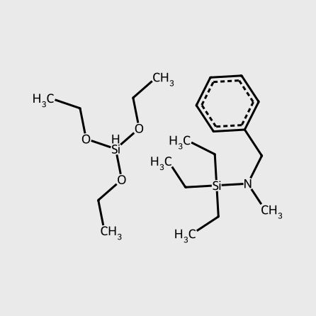 CCO[SiH](OCC)OCC.CC[Si](CC)(CC)N(C)Cc1ccccc1